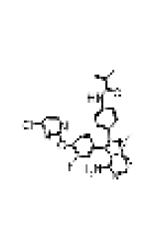 C=C(C)C(=O)Nc1ccc(-c2c(-c3ccc(Oc4nccc(Cl)n4)c(F)c3)c3c(N)ncnc3n2C)cc1